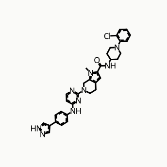 Cn1c(C(=O)NC2CCN(c3ccccc3Cl)CC2)cc2c1CN(c1nccc(Nc3ccc(-c4cn[nH]c4)cc3)n1)CC2